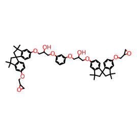 CC1(C)CC2(CC(C)(C)c3cc(OCC4CO4)ccc32)c2ccc(OCC(O)COc3cccc(OCC(O)COc4ccc5c(c4)C(C)(C)CC54CC(C)(C)c5cc(OCC6CO6)ccc54)c3)cc21